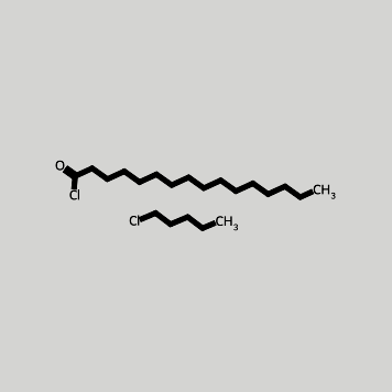 CCCCCCCCCCCCCCCC(=O)Cl.CCCCCCl